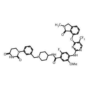 COc1cc(C(=O)NC2CCN(Cc3cccc(N4CCC(=O)NC4=O)c3)CC2)c(F)cc1Nc1ncc(C(F)(F)F)c(Oc2cccc3c2C(=O)N(C)C3)n1